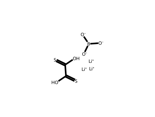 OC(=S)C(O)=S.[Li+].[Li+].[Li+].[O-]B([O-])[O-]